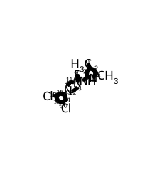 Cc1cc(C)nc(NC(=S)N2CCN(c3cc(Cl)cc(Cl)c3)CC2)c1